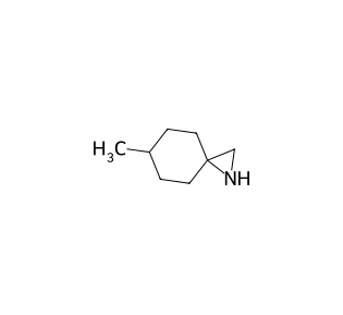 CC1CCC2(CC1)CN2